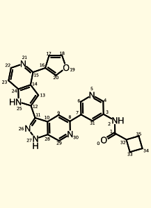 O=C(Nc1cncc(-c2cc3c(-c4cc5c(-c6ccoc6)nccc5[nH]4)n[nH]c3cn2)c1)C1CCC1